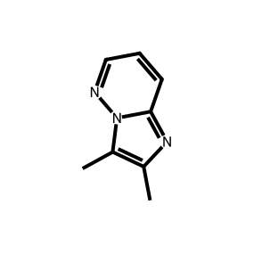 Cc1nc2cccnn2c1C